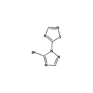 CC(C)c1ncnn1-c1ncns1